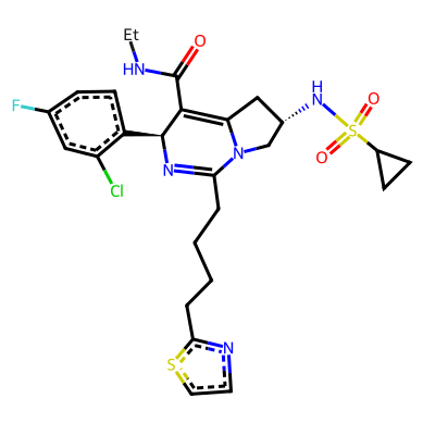 CCNC(=O)C1=C2C[C@H](NS(=O)(=O)C3CC3)CN2C(CCCCc2nccs2)=N[C@H]1c1ccc(F)cc1Cl